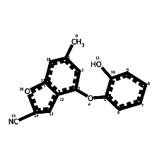 Cc1cc(Oc2ccccc2O)c2cc(C#N)oc2c1